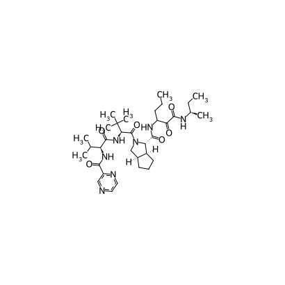 CCCC(NC(=O)[C@@H]1[C@H]2CCC[C@H]2CN1C(=O)[C@@H](NC(=O)[C@@H](NC(=O)c1cnccn1)C(C)C)C(C)(C)C)C(=O)C(=O)N[C@H](C)CC